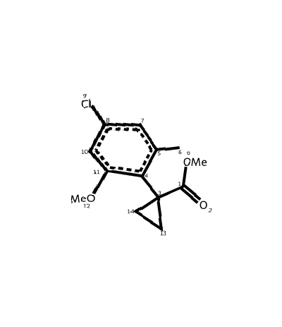 COC(=O)C1(c2c(C)cc(Cl)cc2OC)CC1